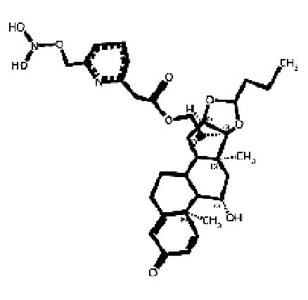 CCCC1O[C@@H]2CC3C4CCC5=CC(=O)C=C[C@]5(C)C4[C@@H](O)C[C@]3(C)[C@]2(C(=O)COC(=O)Cc2cccc(CON(O)O)n2)O1